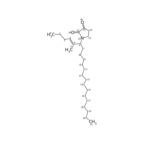 CCCC=C(C)C(CCCCCCCCCCCCCCC)N1CCC(=O)C1=O